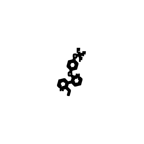 CCc1ncccc1-c1cccnc1Oc1ccc(OC(F)(F)F)cc1